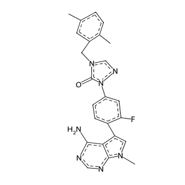 Cc1ccc(C)c(Cn2cnn(-c3ccc(-c4cn(C)c5ncnc(N)c45)c(F)c3)c2=O)c1